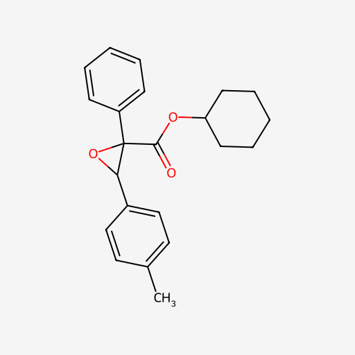 Cc1ccc(C2OC2(C(=O)OC2CCCCC2)c2ccccc2)cc1